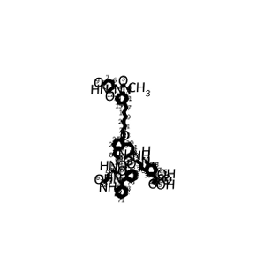 Cn1c(=O)n(C2CCC(=O)NC2=O)c2ccc(CCCCCCOc3ccc4c5c3CC[C@H](NC(=O)c3cc6cc(C(=O)P(=O)(O)O)ccc6[nH]3)C(=O)N5[C@H](C(=O)N[C@@H](CCC(N)=O)C(=O)NC(c3ccccc3)c3ccccc3)C4)cc21